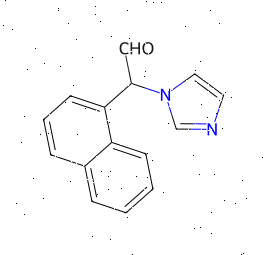 O=CC(c1cccc2ccccc12)n1ccnc1